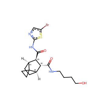 O=C(NCCCCO)[C@H]1[C@H](C(=O)Nc2ncc(Br)s2)[C@@H]2CC[C@H]1C21CC1